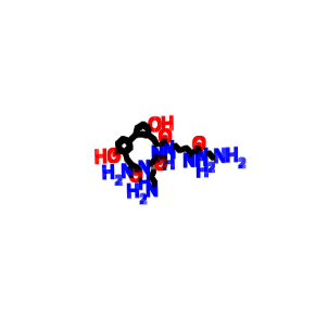 NCCC[C@@H]1NC(=O)[C@@H](N)Cc2cc(ccc2O)-c2ccc(O)c(c2)C[C@@H](C(=O)NCCC[C@H](N)C(=O)NCCN)NC1=O